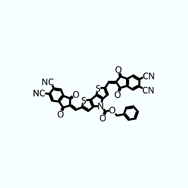 N#Cc1cc2c(cc1C#N)C(=O)C(=Cc1cc3c(s1)c1sc(C=C4C(=O)c5cc(C#N)c(C#N)cc5C4=O)cc1n3C(=O)OCc1ccccc1)C2=O